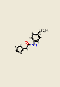 O=C(CC1CCCC1)Nc1ccc(C(=O)O)cc1